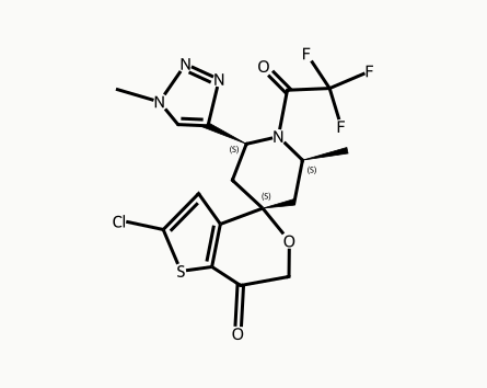 C[C@H]1C[C@@]2(C[C@@H](c3cn(C)nn3)N1C(=O)C(F)(F)F)OCC(=O)c1sc(Cl)cc12